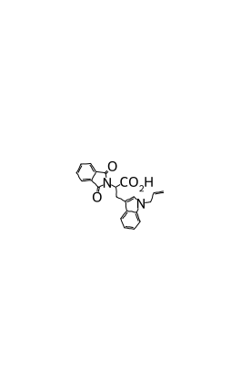 C=CCn1cc(CC(C(=O)O)N2C(=O)c3ccccc3C2=O)c2ccccc21